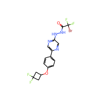 O=C(NNc1cnc(-c2ccc(OC3CC(F)(F)C3)cc2)cn1)C(F)(F)Br